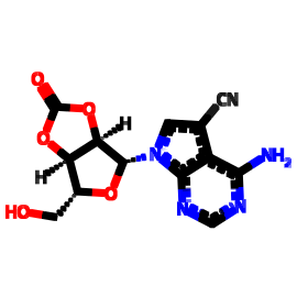 N#Cc1cn([C@@H]2O[C@H](CO)[C@H]3OC(=O)O[C@H]32)c2ncnc(N)c12